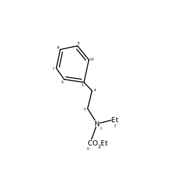 CCOC(=O)N(CC)CCc1ccccc1